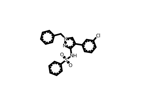 O=S(=O)(Nc1nn(Cc2ccccc2)cc1-c1cccc(Cl)c1)c1ccccc1